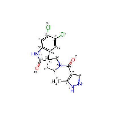 Cc1[nH]ncc1C(=O)N1CC[C@]2(C1)C(=O)Nc1cc(Cl)c(Cl)cc12